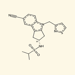 CC(C)S(=O)(=O)N[C@@H]1Cc2c(n(Cc3ccsn3)c3ccc(C#N)cc23)C1